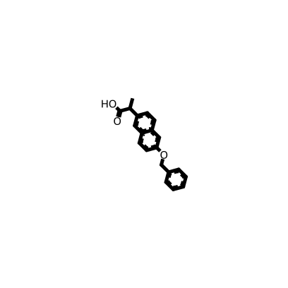 CC(C(=O)O)c1ccc2cc(OCc3ccccc3)ccc2c1